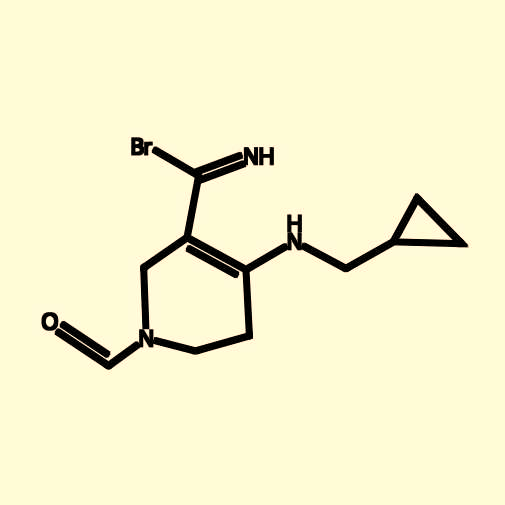 N=C(Br)C1=C(NCC2CC2)CCN(C=O)C1